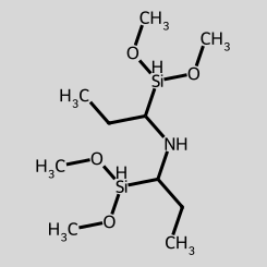 CCC(NC(CC)[SiH](OC)OC)[SiH](OC)OC